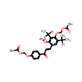 CCC(C)(C)c1cc(/C=C/C(=O)c2ccc(OCOC(=O)C(C)(C)C)cc2)c(OC(C)C)c(C(C)(C)CC)c1OCOC(=O)C(C)(C)C